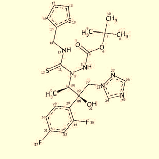 C[C@@H](N(NC(=O)OC(C)(C)C)C(=S)NCc1cccs1)[C@](O)(Cn1cncn1)c1ccc(F)cc1F